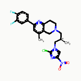 Cc1cc(-c2ccc(F)c(F)c2)nc2c1CN(C[C@@H](C)Cn1cc([N+](=O)[O-])nc1Cl)CC2